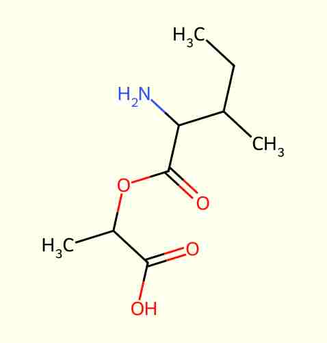 CCC(C)C(N)C(=O)OC(C)C(=O)O